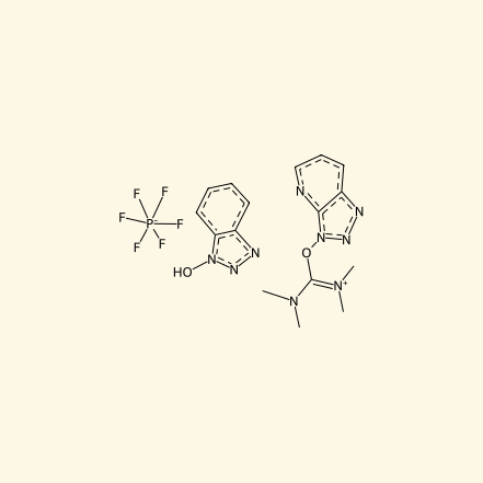 CN(C)C(On1nnc2cccnc21)=[N+](C)C.F[P-](F)(F)(F)(F)F.On1nnc2ccccc21